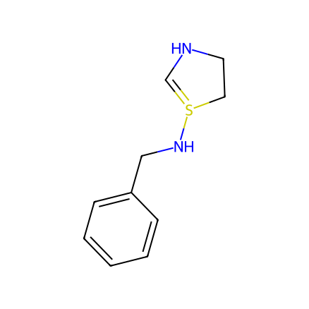 C1=S(NCc2ccccc2)CCN1